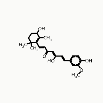 COc1cc(/C=C/C(O)=C/C(=O)/C=C/C2=C(C)C(O)CCC2(C)C)ccc1O